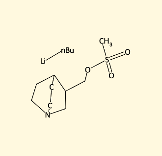 CS(=O)(=O)OCC1CN2CCC1CC2.[Li][CH2]CCC